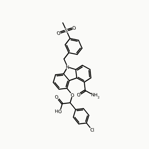 CS(=O)(=O)c1cccc(Cn2c3cccc(OC(C(=O)O)c4ccc(Cl)cc4)c3c3c(C(N)=O)cccc32)c1